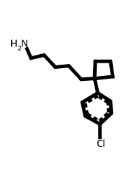 NCCCCCC1(c2ccc(Cl)cc2)CCC1